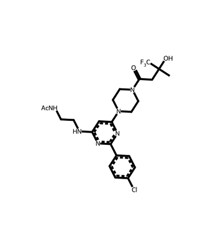 CC(=O)NCCNc1cc(N2CCN(C(=O)CC(C)(O)C(F)(F)F)CC2)nc(-c2ccc(Cl)cc2)n1